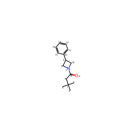 CC(C)(C)CC(=O)N1CC(c2ccccc2)C1